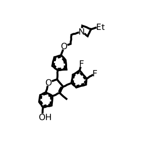 CCC1CN(CCOc2ccc(C3Oc4ccc(O)cc4C(C)=C3c3ccc(F)c(F)c3)cc2)C1